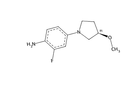 CO[C@@H]1CCN(c2ccc(N)c(F)c2)C1